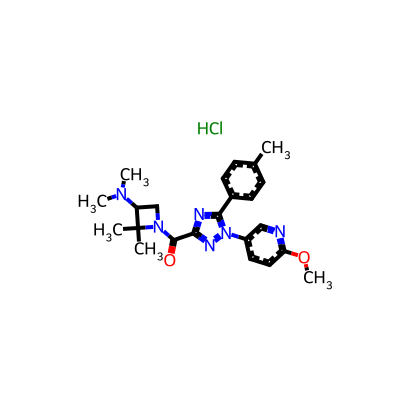 COc1ccc(-n2nc(C(=O)N3CC(N(C)C)C3(C)C)nc2-c2ccc(C)cc2)cn1.Cl